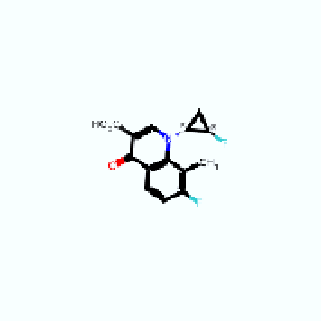 Cc1c(F)ccc2c(=O)c(C(=O)O)cn([C@@H]3C[C@H]3F)c12